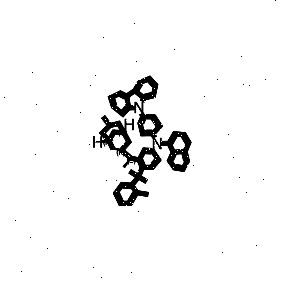 Cc1ccccc1C(C)(C)c1ccc(N(c2ccc(-n3c4ccccc4c4ccccc43)cc2)c2cccc3ccccc23)cc1[C@@H](C)[C@H]1C[C@@H]2CC(C)C[C@@H](C2)C1